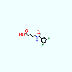 O=CC(NCCCCC(=O)O)c1cc(F)cc(F)c1